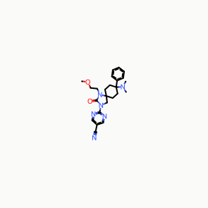 COCCN1C(=O)N(c2ncc(C#N)cn2)CC12CCC(c1ccccc1)(N(C)C)CC2